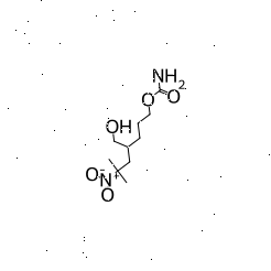 CC(C)(CC(CO)CCCOC(N)=O)[N+](=O)[O-]